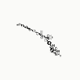 CCCOCCOCCOCCOCCOCCNC(=O)CC[C@@H](C)NC(=O)c1ccc(NCc2cnc3nc(N)[nH]c(=O)c3n2)cc1